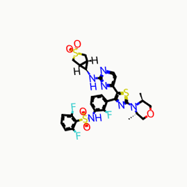 C[C@H]1COC[C@H](C)N1c1nc(-c2cccc(NS(=O)(=O)c3c(F)cccc3F)c2F)c(-c2ccnc(N[C@H]3[C@@H]4CS(=O)(=O)C[C@@H]43)n2)s1